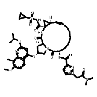 COc1ccc2c(O[C@@H]3C[C@H]4C(=O)N[C@]5(C(=O)NS(=O)(=O)C6CC6)C[C@H]5/C=C\CCCCC[C@H](NC(=O)c5ccn(CC(=O)N(C)C)n5)C(=O)N4C3)cc(OC(C)C)nc2c1C